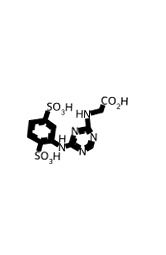 O=C(O)CNc1ncnc(Nc2cc(S(=O)(=O)O)ccc2S(=O)(=O)O)n1